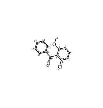 COc1cccc(Cl)c1C(=O)c1ccccc1